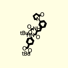 CC(C)(C)OC(=O)NC(Cc1cccc(N2CCCC2=O)c1)C(=O)Nc1ccc(C(=O)OC(C)(C)C)cc1